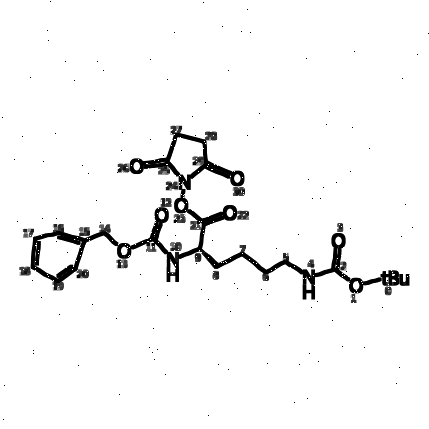 CC(C)(C)OC(=O)NCCCC[C@@H](NC(=O)OCc1ccccc1)C(=O)ON1C(=O)CCC1=O